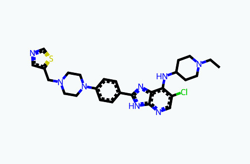 CCN1CCC(Nc2c(Cl)cnc3[nH]c(-c4ccc(N5CCN(Cc6cncs6)CC5)cc4)nc23)CC1